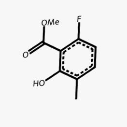 COC(=O)c1c(F)ccc(C)c1O